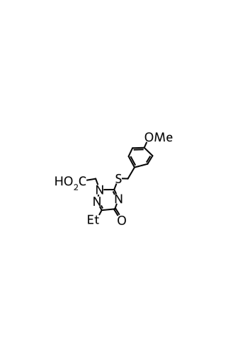 CCc1nn(CC(=O)O)c(SCc2ccc(OC)cc2)nc1=O